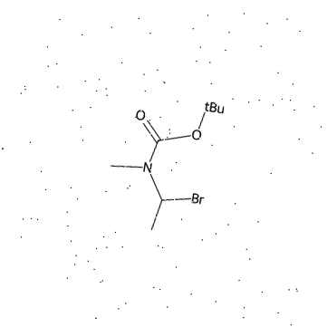 CC(Br)N(C)C(=O)OC(C)(C)C